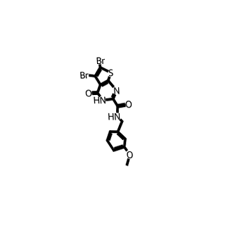 COc1cccc(CNC(=O)c2nc3sc(Br)c(Br)c3c(=O)[nH]2)c1